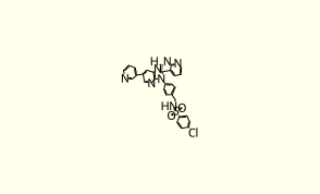 Nc1ncccc1-c1nc2cc(-c3cccnc3)cnc2n1-c1ccc(CNS(=O)(=O)c2ccc(Cl)cc2)cc1